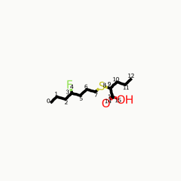 CCCC(F)CCCSC(CCC)C(=O)O